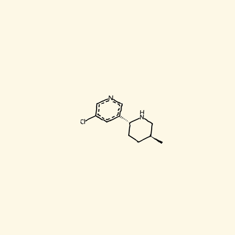 C[C@H]1CC[C@H](c2cncc(Cl)c2)NC1